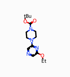 CCOc1cncc(N2CCN(C(=O)OC(C)(C)C)CC2)n1